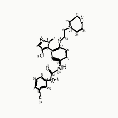 Cn1ncc(Cl)c1-c1cc(NC(=O)Nc2cccc(F)c2)ccc1OCCN1CCOCC1